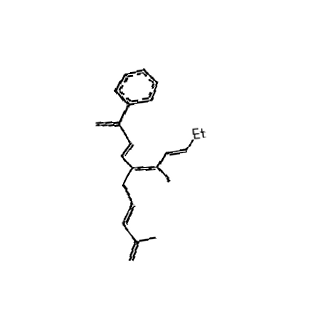 C=C(C)C=CCC(C=CC(=C)c1ccccc1)=C(C)C=CCC